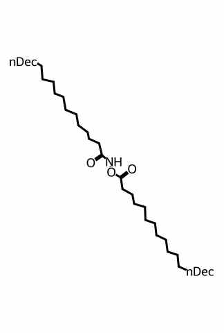 CCCCCCCCCCCCCCCCCCCCCC(=O)NOC(=O)CCCCCCCCCCCCCCCCCCCCC